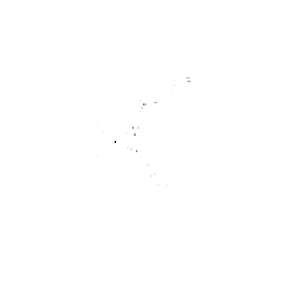 CC#CC1C(COC=O)C1(C)C